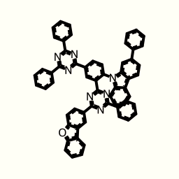 c1ccc(-c2ccc3c4ccccc4n(-c4ccc(-c5nc(-c6ccccc6)nc(-c6ccccc6)n5)cc4-c4nc(-c5ccccc5)nc(-c5ccc6oc7ccccc7c6c5)n4)c3c2)cc1